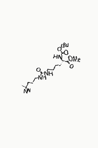 COC(=O)[C@H](CCCCNC(=O)NCCCC1(C)N=N1)NC(=O)OC(C)(C)C